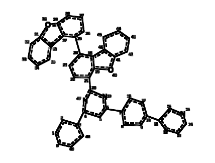 c1ccc(-c2cc(-c3ccc(-c4cccnc4)cc3)nc(-c3ccc(-c4cccc5oc6ccccc6c45)c4c3oc3ccccc34)n2)cc1